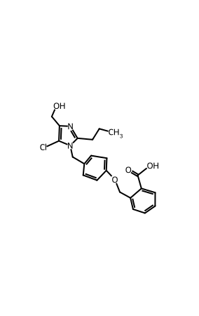 CCCc1nc(CO)c(Cl)n1Cc1ccc(OCc2ccccc2C(=O)O)cc1